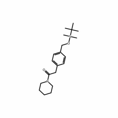 CC(C)(C)[Si](C)(C)OCc1ccc(CC(=O)N2CCCCC2)cc1